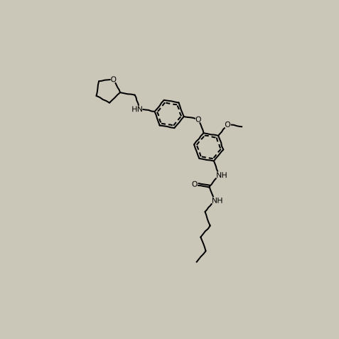 CCCCCNC(=O)Nc1ccc(Oc2ccc(NCC3CCCO3)cc2)c(OC)c1